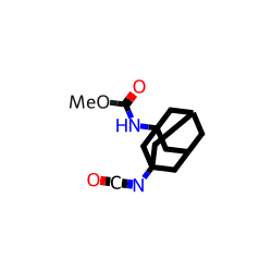 COC(=O)NC12CC3CC(CC(N=C=O)(C3)C1)C2